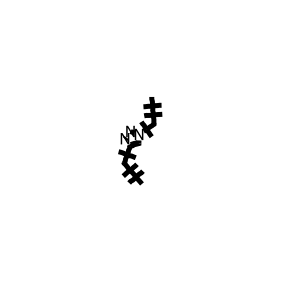 CC(C)(CC(C)(C)C(C)(C)C)c1cn(C(C)(C)CC(C)(C)C(C)(C)C)nn1